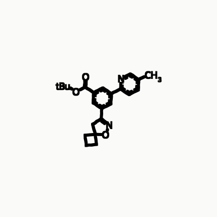 Cc1ccc(-c2cc(C(=O)OC(C)(C)C)cc(C3=NOC4(CCC4)C3)c2)nc1